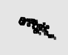 CC(C)Sc1c(OCC(F)(F)C(=O)NCCN)noc1C(=O)NC1C2CC3CC(C2)CC1C3